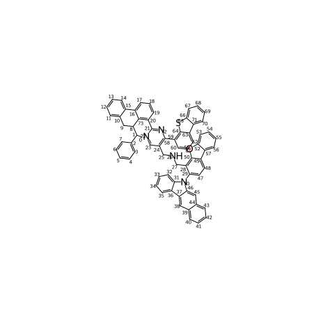 CC(c1ccccc1)C1Cc2ccccc2-c2cccc(-c3ncc(CNCc4c(-n5c6ccccc6c6cc7ccccc7cc65)ccc5c4oc4ccccc45)c(-c4cccc5c4sc4ccccc45)n3)c21